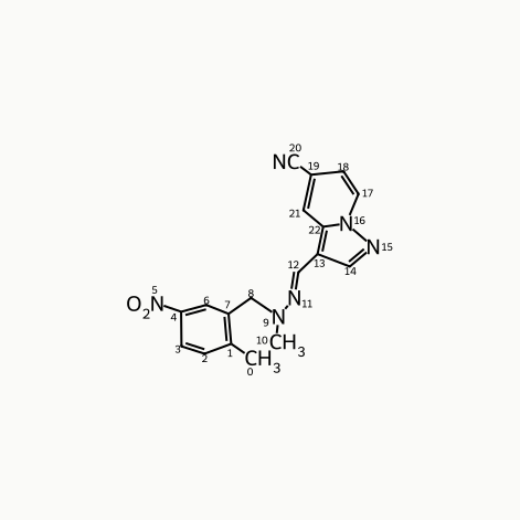 Cc1ccc([N+](=O)[O-])cc1CN(C)N=Cc1cnn2ccc(C#N)cc12